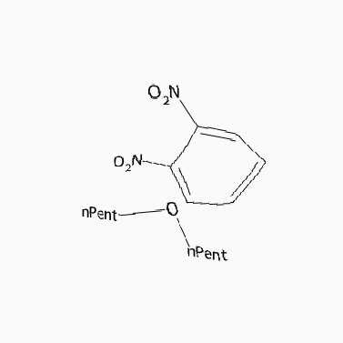 CCCCCOCCCCC.O=[N+]([O-])c1ccccc1[N+](=O)[O-]